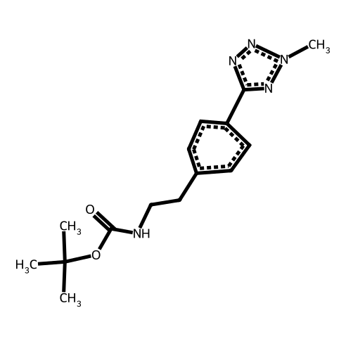 Cn1nnc(-c2ccc(CCNC(=O)OC(C)(C)C)cc2)n1